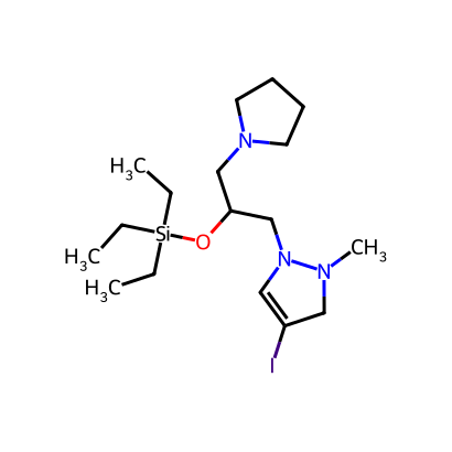 CC[Si](CC)(CC)OC(CN1CCCC1)CN1C=C(I)CN1C